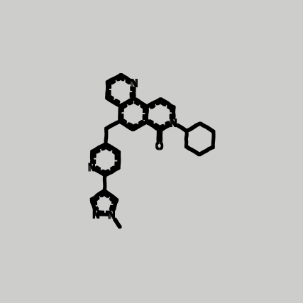 Cn1cc(-c2ccc(Cc3cc4c(=O)n(C5CCCCC5)ccc4c4ncccc34)cn2)cn1